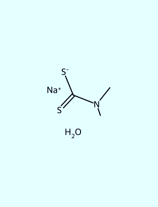 CN(C)C(=S)[S-].O.[Na+]